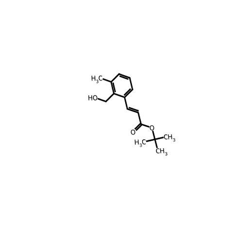 Cc1cccc(/C=C/C(=O)OC(C)(C)C)c1CO